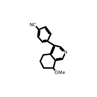 COC1CCCc2c(-c3ccc(C#N)cc3)cncc21